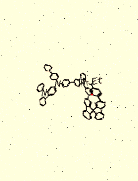 CCCC(CC)c1ccc(-c2ccc3c(c2)C2(c4ccccc4-3)c3ccccc3-c3ccc(-c4cccc(-n5c6ccccc6c6cc(-c7ccc(N(c8ccc(-c9ccccc9)cc8)c8ccc9c%10ccccc%10n(-c%10ccccc%10)c9c8)cc7)ccc65)c4)cc32)cc1